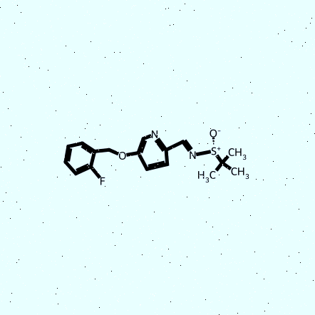 CC(C)(C)[S@@+]([O-])/N=C/c1ccc(OCc2ccccc2F)cn1